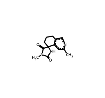 Cc1cc2c(cn1)CCCC21NC(=O)N(C)C1=O